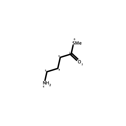 CSC(=O)CCCN